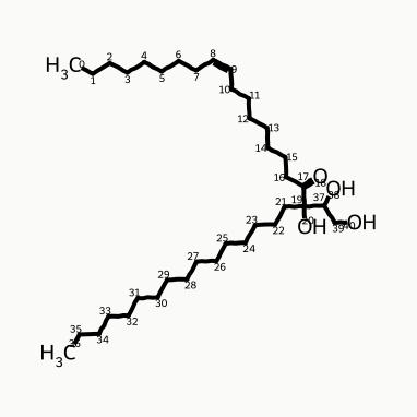 CCCCCCCC/C=C\CCCCCCCC(=O)C(O)(CCCCCCCCCCCCCCCC)C(O)CO